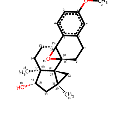 COc1ccc2c(c1)CC[C@@]13O[C@@]21CC[C@]1(C)[C@@H](O)C[C@]2(C)C[C@]231